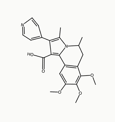 COc1cc2c(c(OC)c1OC)CC(C)n1c(C)c(-c3ccncc3)c(C(=O)O)c1-2